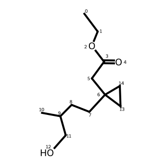 CCOC(=O)CC1(CCC(C)CO)CC1